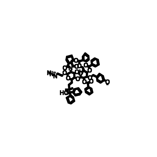 COc1ccc(COC2C(OC(=O)c3ccccc3)C(COC(=O)c3ccccc3)OC(OC3C(CCC(C)(C)[Si](O)(c4ccccc4)c4ccccc4)OC(OCCN=[N+]=[N-])C(N4C(=O)c5ccccc5C4=O)C3O)C2OC(=O)c2ccccc2)cc1